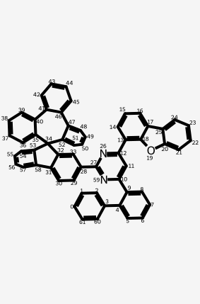 c1ccc(-c2ccccc2-c2cc(-c3cccc4c3oc3ccccc34)nc(-c3ccc4c(c3)C3(c5ccccc5-c5ccccc5-c5ccccc53)c3ccccc3-4)n2)cc1